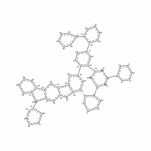 c1ccc(-c2nc(-c3ccccc3)nc(-c3cc(-c4ccccc4-c4ccccc4)ccc3-c3ccc4sc5cc6c(cc5c4c3)c3ccccc3n6-c3ccccc3)n2)cc1